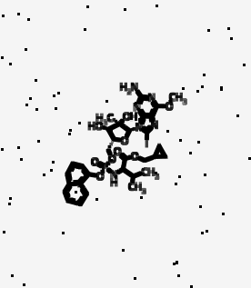 COc1nc(N)nc2c1nc(I)n2[C@@H]1O[C@H](COP(=O)(NC(C(=O)OCC2CC2)C(C)C)Oc2cccc3ccccc23)[C@@H](O)[C@@]1(C)O